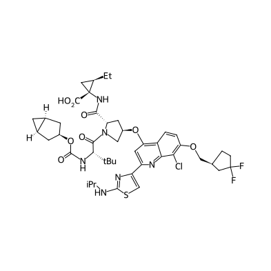 CC[C@@H]1C[C@]1(NC(=O)[C@@H]1C[C@@H](Oc2cc(-c3csc(NC(C)C)n3)nc3c(Cl)c(OC[C@H]4CCC(F)(F)C4)ccc23)CN1C(=O)[C@@H](NC(=O)O[C@@H]1C[C@@H]2C[C@@H]2C1)C(C)(C)C)C(=O)O